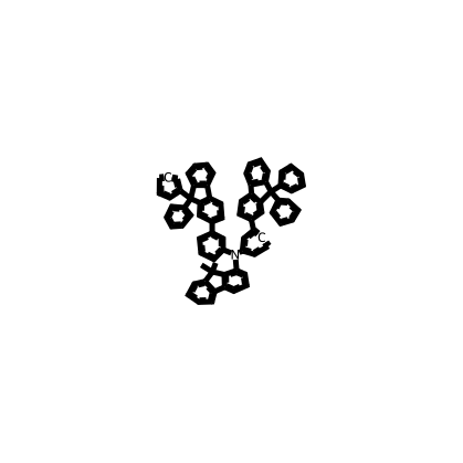 CC1(C)c2ccccc2-c2cccc(N(c3cccc(-c4ccc5c(c4)C(c4ccccc4)(c4ccccc4)c4ccccc4-5)c3)c3cccc(-c4ccc5c(c4)C(c4ccccc4)(c4ccccc4)c4ccccc4-5)c3)c21